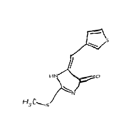 CSC1=NC(=O)C(=Cc2ccsc2)N1